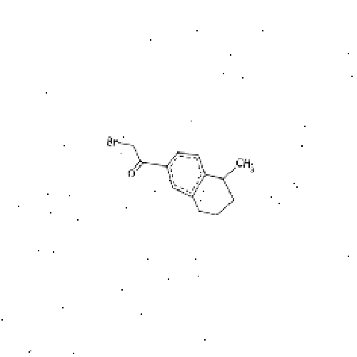 CC1CCCc2cc(C(=O)CBr)ccc21